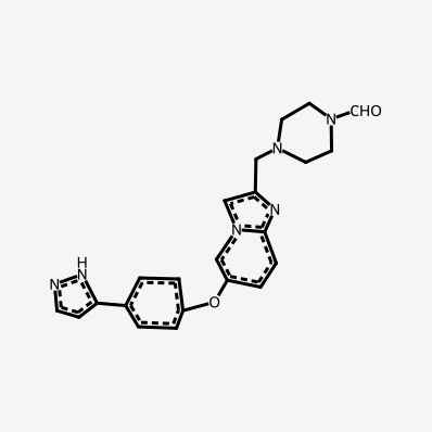 O=CN1CCN(Cc2cn3cc(Oc4ccc(-c5ccn[nH]5)cc4)ccc3n2)CC1